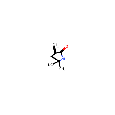 C=C1CC(C)(C)NC1=O